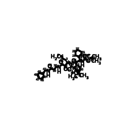 C=CCC[C@@H](NC(=O)[C@@H]1[C@@H]2C(CN1C(=O)[C@@H](NC(=O)OC(C)(C)C)C1CCCCC1)C2(C)C)C(=O)C(=O)NCCC(=O)NCc1ccccc1